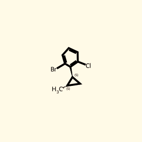 C[C@H]1C[C@@H]1c1c(Cl)cccc1Br